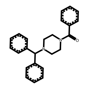 O=C(c1ccccc1)N1CCN(C(c2ccccc2)c2ccccc2)CC1